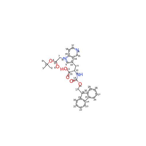 CC(C)(C)OC(=O)Cn1cc(CC(NC(=O)OCC2c3ccccc3-c3ccccc32)C(=O)O)c2cnccc21